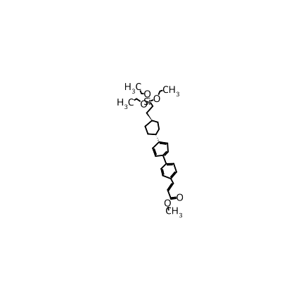 CCO[Si](CC[C@H]1CC[C@H](c2ccc(-c3ccc(C=CC(=O)OC)cc3)cc2)CC1)(OCC)OCC